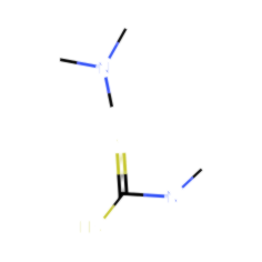 CN(C)C.CNC(=S)S